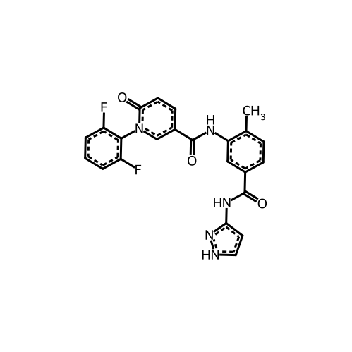 Cc1ccc(C(=O)Nc2cc[nH]n2)cc1NC(=O)c1ccc(=O)n(-c2c(F)cccc2F)c1